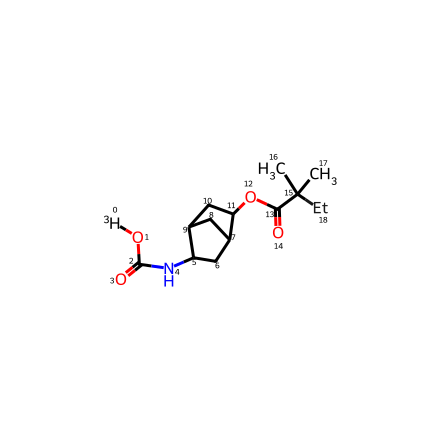 [3H]OC(=O)NC1CC2CC1CC2OC(=O)C(C)(C)CC